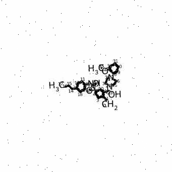 C=Cc1ccc(S(=O)(=O)Nc2ccc(CCCC)cc2)cc1C(O)N1CCN(c2ccccc2OC)CC1